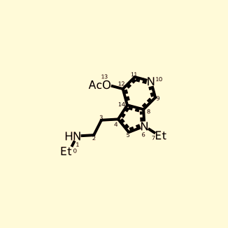 CCNCCc1cn(CC)c2cncc(OC(C)=O)c12